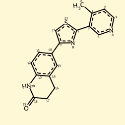 Cc1ccncc1-c1nc(-c2ccc3c(c2)CCC(=O)N3)cs1